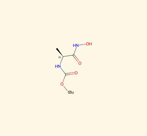 C[C@H](NC(=O)OC(C)(C)C)C(=O)NO